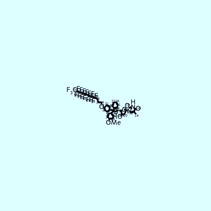 COc1ccc(C(OC[C@H]2O[C@@H](n3cc(C)c(=O)[nH]c3=O)C[C@@H]2O)(c2ccccc2)c2ccc(OCCCC(F)(F)C(F)(F)C(F)(F)C(F)(F)C(F)(F)C(F)(F)C(F)(F)C(F)(F)F)cc2)cc1